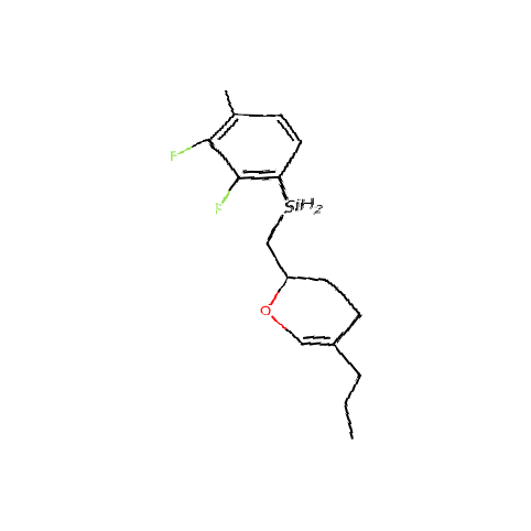 CCCC1=COC(C[SiH2]c2ccc(C)c(F)c2F)CC1